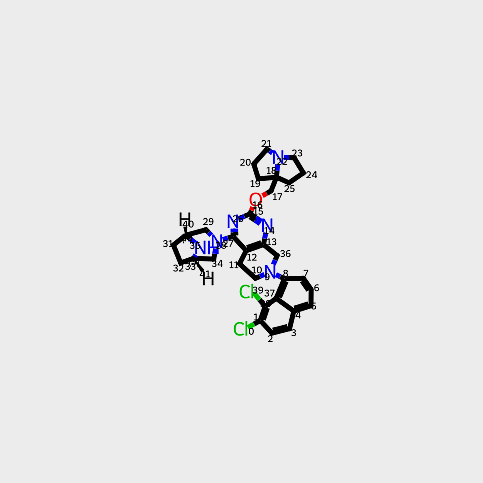 Clc1ccc2cccc(N3CCc4c(nc(OCC56CCCN5CCC6)nc4N4C[C@H]5CC[C@@H](C4)N5)C3)c2c1Cl